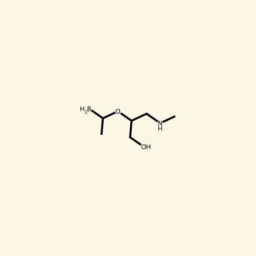 BC(C)OC(CO)CNC